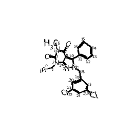 CC(C)Cn1c(=O)n(C)c(=O)c2c(-c3ccccc3)n(Cc3cc(Cl)cc(Cl)c3)nc21